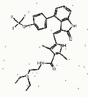 CCN(CC)CCNC(=O)c1c(C)[nH]c(C=C2C(=O)Nc3cccc(-c4ccc(OC(F)(F)F)cc4)c32)c1C